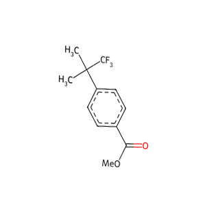 COC(=O)c1ccc(C(C)(C)C(F)(F)F)cc1